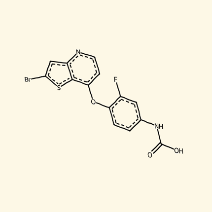 O=C(O)Nc1ccc(Oc2ccnc3cc(Br)sc23)c(F)c1